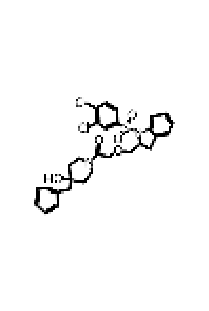 O=C(COCC1Cc2ccccc2N1S(=O)(=O)c1ccc(Cl)c(Cl)c1)N1CCC(O)(Cc2ccccc2)CC1